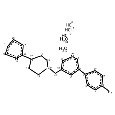 Cl.Cl.Cl.Fc1ccc(-c2cncc(CN3CCN(c4ccccn4)CC3)c2)cc1.O.O